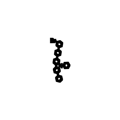 Brc1cccc(-c2ccc(-c3ccc4c5ccc(-c6ccccc6)cc5n(-c5ccccc5)c4c3)cc2)c1